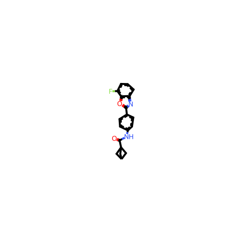 O=C(Nc1ccc(-c2nc3cccc(F)c3o2)cc1)C12CC(C1)C2